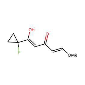 CO/C=C/C(=O)/C=C(\O)C1(F)CC1